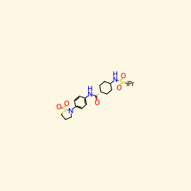 CC(C)S(=O)(=O)N[C@H]1CC[C@H](C(=O)Nc2ccc(N3CCCS3(=O)=O)cc2)CC1